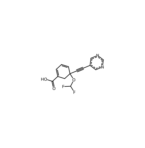 O=C(O)C1=CC=CC(C#Cc2cncnc2)(OC(F)F)C1